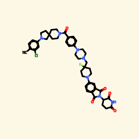 N#Cc1ccc(N2CCC3(CCN(C(=O)c4ccc(N5CCN(CC6(F)CCN(c7ccc8c(c7)C(=O)N(C7CCC(=O)NC7=O)C8=O)CC6)CC5)cc4)CC3)C2)cc1Cl